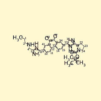 CCCNCc1ncc(-c2ccc(-c3ccc(-c4cnc([C@@H]5CCCN5C(=O)OC(C)(C)C)[nH]4)cc3C=O)c(C=O)c2)[nH]1